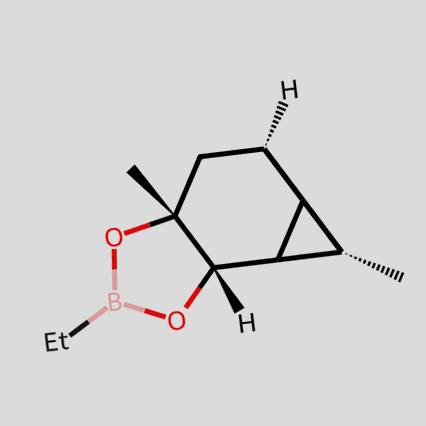 CCB1O[C@H]2C3C4[C@@H](C[C@@]2(C)O1)[C@]43C